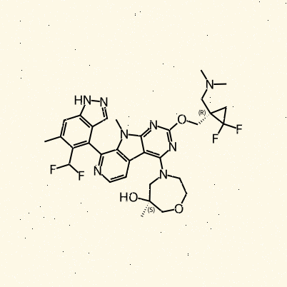 Cc1cc2[nH]ncc2c(-c2nccc3c4c(N5CCOC[C@@](C)(O)C5)nc(OC[C@]5(CN(C)C)CC5(F)F)nc4n(C)c23)c1C(F)F